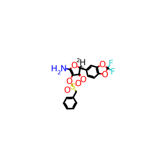 [2H][C@]1(c2ccc3c(c2)OC(F)(F)O3)OC(N)=C(OS(=O)(=O)Cc2ccccc2)C1=O